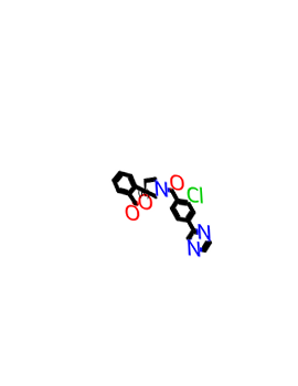 O=C1O[C@]2(CCN(C(=O)c3ccc(-c4cnccn4)cc3Cl)C2)c2ccccc21